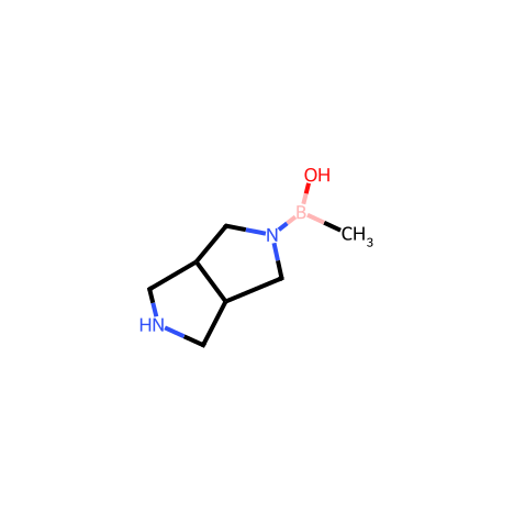 CB(O)N1CC2CNCC2C1